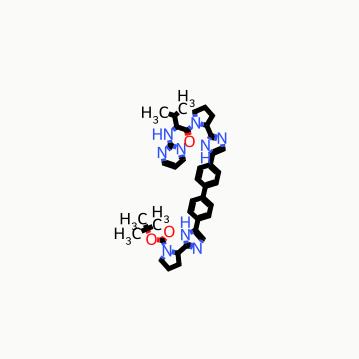 CC(C)C(Nc1ncccn1)C(=O)N1CCCC1c1ncc(-c2ccc(-c3ccc(-c4cnc(C5CCCN5C(=O)OC(C)(C)C)[nH]4)cc3)cc2)[nH]1